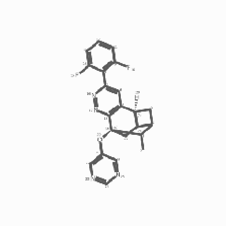 CC1C2C[C@@H]3c4cc(-c5c(F)cccc5F)nnc4[C@@]1(Oc1cncnc1)CC23